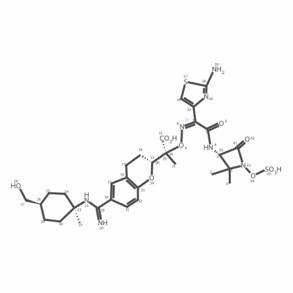 CC1(C)[C@H](NC(=O)/C(=N\O[C@](C)(C(=O)O)[C@H]2CCc3cc(C(=N)N[C@]4(C)CC[C@H](CO)CC4)ccc3O2)c2csc(N)n2)C(=O)N1OS(=O)(=O)O